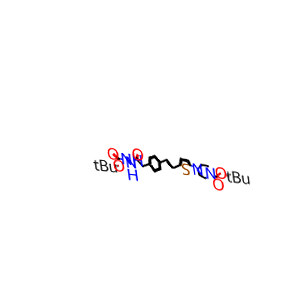 CC(C)(C)OC(=O)NNC(=O)Cc1ccc(C=Cc2ccc(N3CCN(C(=O)OC(C)(C)C)CC3)s2)cc1